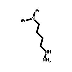 CC(C)N(CCCCNN)C(C)C